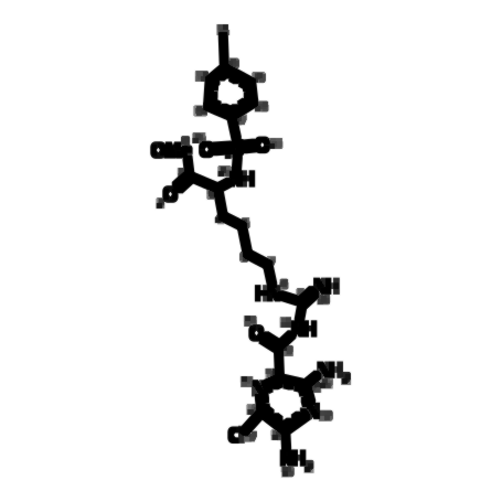 COC(=O)C(CCCCNC(=N)NC(=O)c1nc(Cl)c(N)nc1N)NS(=O)(=O)c1ccc(C)cc1